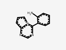 Nc1ccccc1-c1ncnc2cccn12